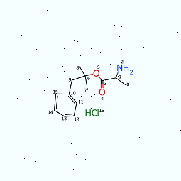 CC(N)C(=O)OC(C)(C)Cc1ccccc1.Cl